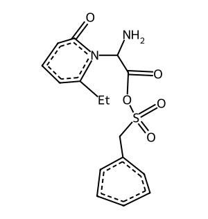 CCc1cccc(=O)n1C(N)C(=O)OS(=O)(=O)Cc1ccccc1